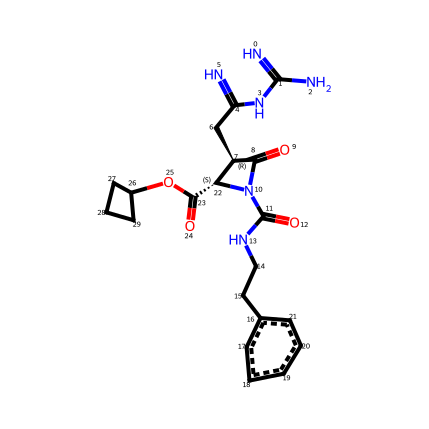 N=C(N)NC(=N)C[C@H]1C(=O)N(C(=O)NCCc2ccccc2)[C@@H]1C(=O)OC1CCC1